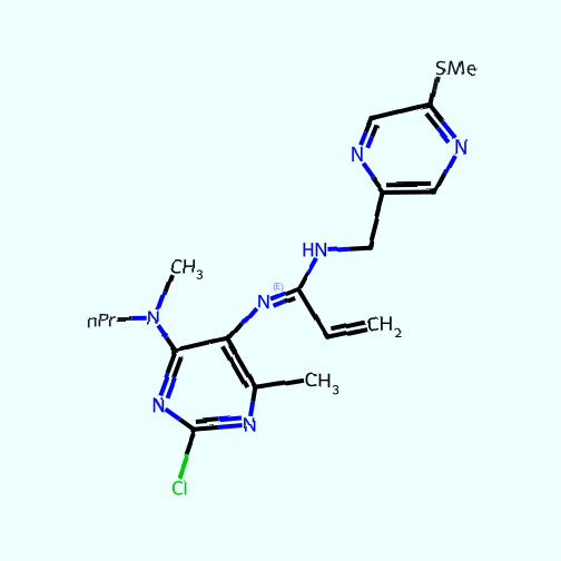 C=C/C(=N\c1c(C)nc(Cl)nc1N(C)CCC)NCc1cnc(SC)cn1